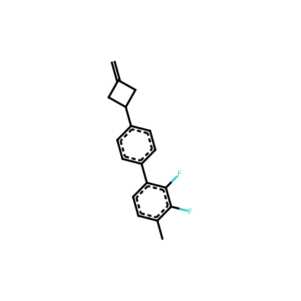 C=C1CC(c2ccc(-c3ccc(C)c(F)c3F)cc2)C1